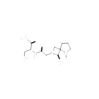 CC(=O)N1CCCC12CN(CC(=O)N[C@H](C(N)=O)[C@@H](C)O)C2=O